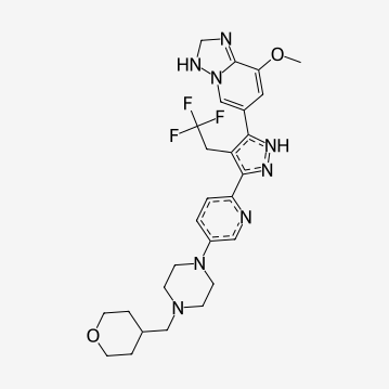 COC1=CC(c2[nH]nc(-c3ccc(N4CCN(CC5CCOCC5)CC4)cn3)c2CC(F)(F)F)=CN2NCN=C12